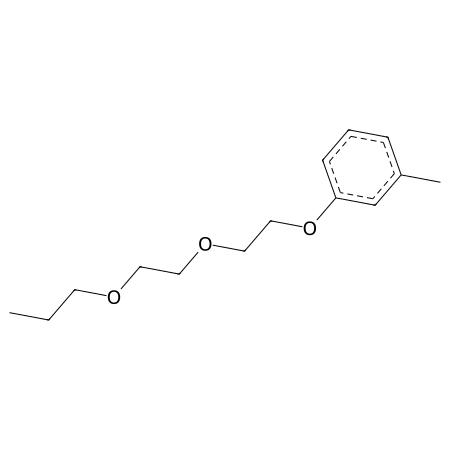 CCCOCCOCCOc1cccc(C)c1